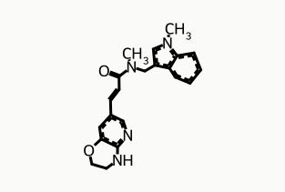 CN(Cc1cn(C)c2ccccc12)C(=O)C=Cc1cnc2c(c1)OCCN2